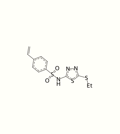 C=Cc1ccc(S(=O)(=O)Nc2nnc(SCC)s2)cc1